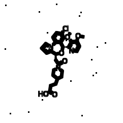 COc1ccnc([C@@H]2O[C@@H](CC(=O)N3CCC(CCC(=O)O)CC3)c3cccn3-c3ccc(Cl)cc32)c1OC